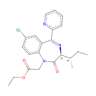 CCOC(=O)CN1C(=O)[C@H]([C@@H](C)CC)N=C(c2ccccn2)c2cc(Cl)ccc21